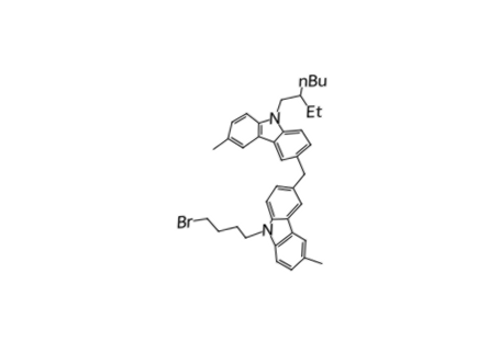 CCCCC(CC)Cn1c2ccc(C)cc2c2cc(Cc3ccc4c(c3)c3cc(C)ccc3n4CCCCBr)ccc21